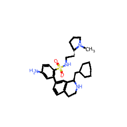 CN1CCC[C@H]1CCNS(=O)(=O)c1ccc(N)cc1-c1ccc2c(c1)C(CC1CCCCC1)NCC2